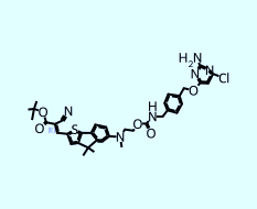 CN(CCOC(=O)NCc1ccc(COc2cc(Cl)nc(N)n2)cc1)c1ccc2c(c1)C(C)(C)c1cc(/C=C(\C#N)C(=O)OC(C)(C)C)sc1-2